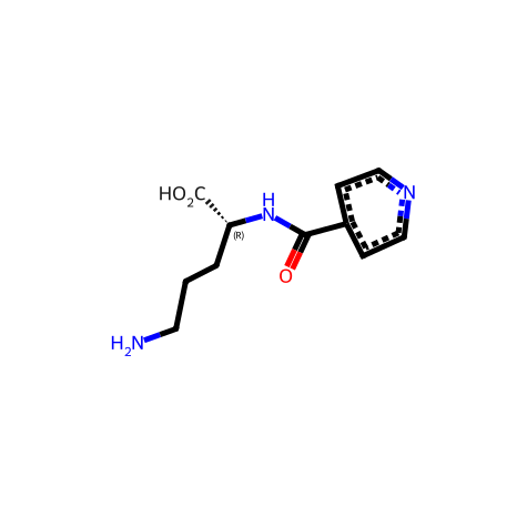 NCCC[C@@H](NC(=O)c1ccncc1)C(=O)O